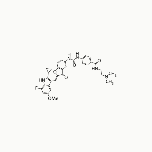 COc1cc(F)c2[nH]c(C3CC3)c(/C=C3\Oc4ccc(NC(=O)Nc5ccc(C(=O)NCCN(C)C)cc5)cc4C3=O)c2c1